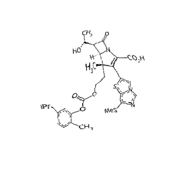 CSc1ncn2cc(C3=C(C(=O)O)N4C(=O)[C@H](C(C)O)[C@@H]4[C@@]3(C)CCOC(=O)Oc3cc(C(C)C)ccc3C)sc12